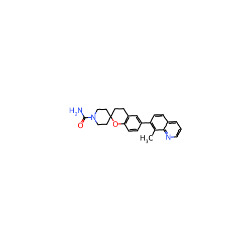 Cc1c(-c2ccc3c(c2)CCC2(CCN(C(N)=O)CC2)O3)ccc2cccnc12